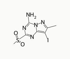 Cc1nn2c(N)nc(S(C)(=O)=O)nc2c1I